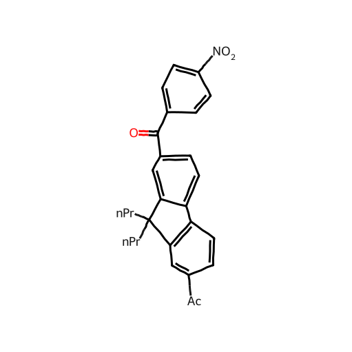 CCCC1(CCC)c2cc(C(C)=O)ccc2-c2ccc(C(=O)c3ccc([N+](=O)[O-])cc3)cc21